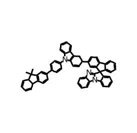 CC1(C)c2cc(-c3ccc(-n4c5c(c6ccccc64)CC(c4ccc6c(c4)C4(c7ccccc7-6)c6ccccc6-n6c4nc4ccccc46)C=C5)cc3)ccc2C2C=CC=CC21